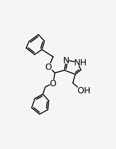 OCc1c[nH]nc1C(OCc1ccccc1)OCc1ccccc1